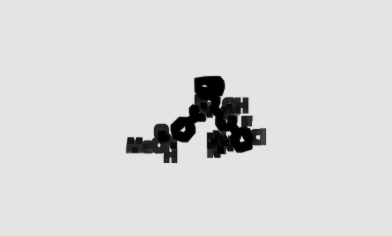 COC(=O)Nc1ccc(-c2cnn(C(CC34CC5CC(CC(C5)C3)C4)c3ccc(-c4c(-n5cnnn5)ccc(Cl)c4F)c[n+]3O)c2)cc1